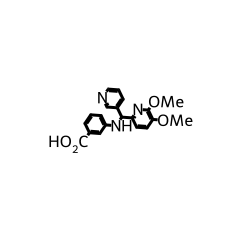 COc1ccc(C(Nc2cccc(C(=O)O)c2)c2cccnc2)nc1OC